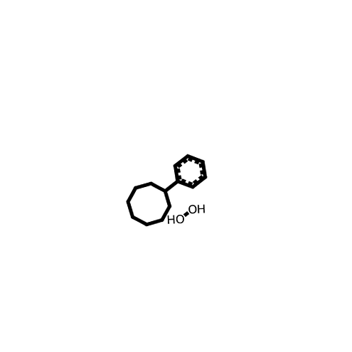 OO.c1ccc(C2CCCCCCC2)cc1